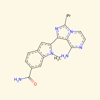 CC(C)c1nc(-c2cc3ccc(C(N)=O)cc3n2C)c2c(N)nccn12